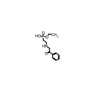 CCOP(=O)(O)CCNCC(=O)c1ccccc1